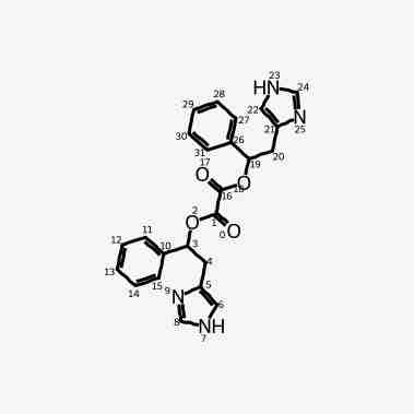 O=C(OC(Cc1c[nH]cn1)c1ccccc1)C(=O)OC(Cc1c[nH]cn1)c1ccccc1